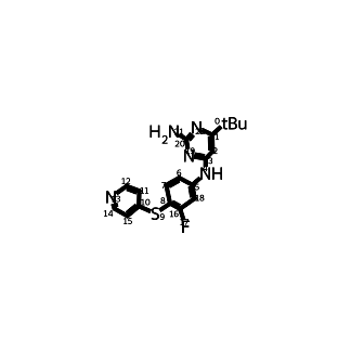 CC(C)(C)c1cc(Nc2ccc(Sc3ccncc3)c(F)c2)nc(N)n1